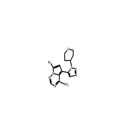 Nc1ncnn2c(Br)cc(-c3cnnn3C3CCOCC3)c12